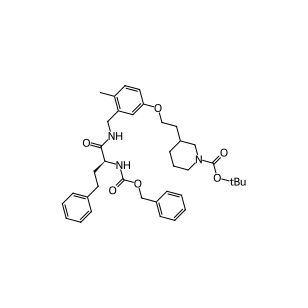 Cc1ccc(OCCC2CCCN(C(=O)OC(C)(C)C)C2)cc1CNC(=O)[C@H](CCc1ccccc1)NC(=O)OCc1ccccc1